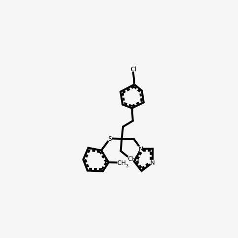 CCC(CCc1ccc(Cl)cc1)(Cn1ccnc1)Sc1ccccc1C